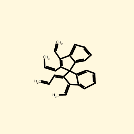 C=C/C=C1\C(=C/C)c2ccccc2C12C(/C=C\C)=C(C=C)c1ccccc12